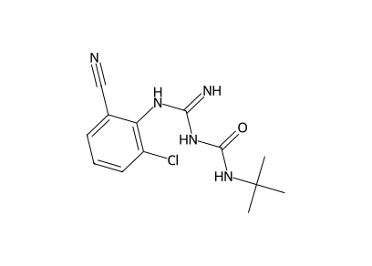 CC(C)(C)NC(=O)NC(=N)Nc1c(Cl)cccc1C#N